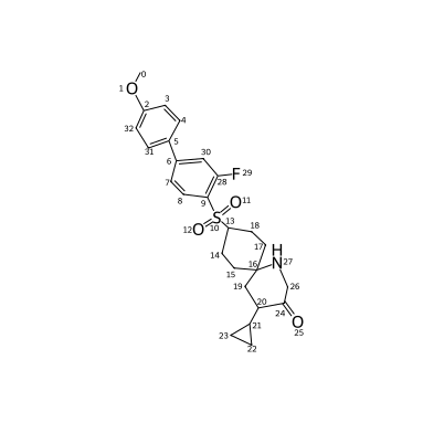 COc1ccc(-c2ccc(S(=O)(=O)C3CCC4(CC3)CC(C3CC3)C(=O)CN4)c(F)c2)cc1